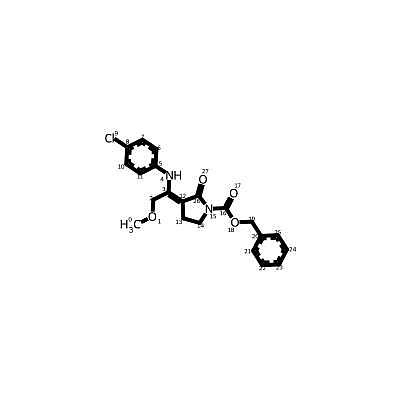 COC/C(Nc1ccc(Cl)cc1)=C1\CCN(C(=O)OCc2ccccc2)C1=O